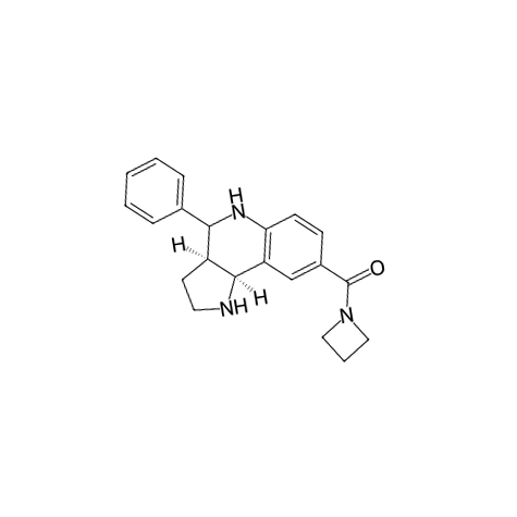 O=C(c1ccc2c(c1)[C@H]1NCC[C@H]1C(c1ccccc1)N2)N1CCC1